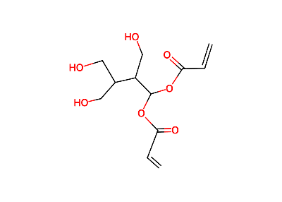 C=CC(=O)OC(OC(=O)C=C)C(CO)C(CO)CO